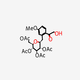 COc1ccc(C(=O)CO)c(C[C@@H]2O[C@H](COC(C)=O)[C@@H](OC(C)=O)[C@H](OC(C)=O)[C@H]2OC(C)=O)c1